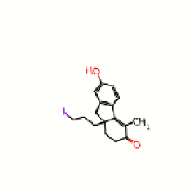 CC1=C2c3ccc(O)cc3CC2(CCCI)CCC1=O